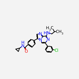 CC(C)CNc1nc(-c2cccc(Cl)c2)cn2c(-c3ccc(C(=O)NC4CC4)cc3)cnc12